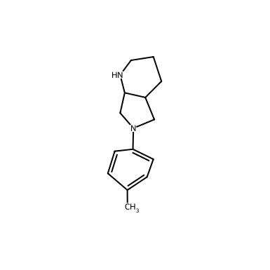 Cc1ccc(N2CC3CCCNC3C2)cc1